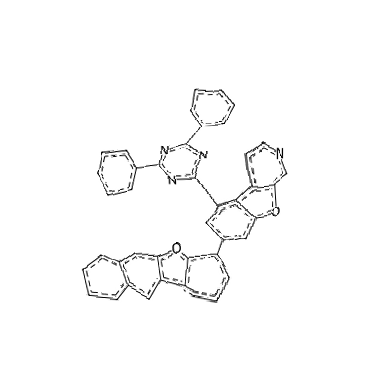 c1ccc(-c2nc(-c3ccccc3)nc(-c3cc(-c4cccc5c4oc4cc6ccccc6cc45)cc4oc5cnccc5c34)n2)cc1